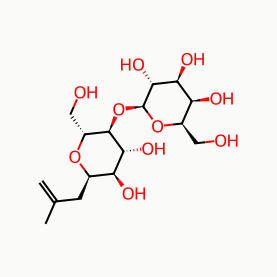 C=C(C)C[C@H]1O[C@H](CO)[C@@H](O[C@@H]2O[C@H](CO)[C@H](O)[C@H](O)[C@H]2O)[C@H](O)[C@H]1O